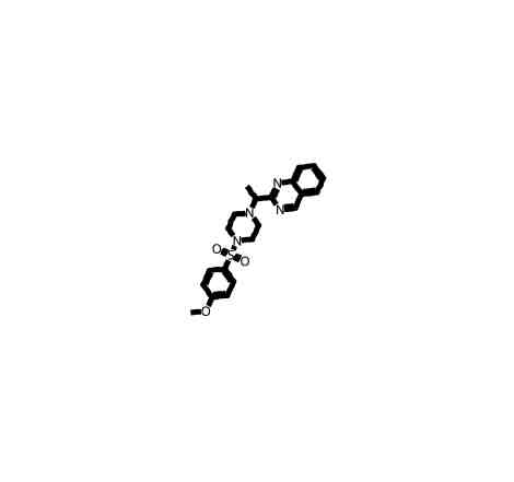 COc1ccc(S(=O)(=O)N2CCN(C(C)c3ncc4ccccc4n3)CC2)cc1